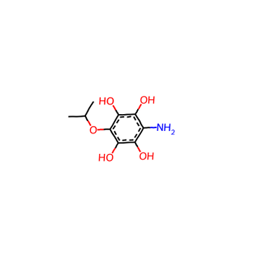 CC(C)Oc1c(O)c(O)c(N)c(O)c1O